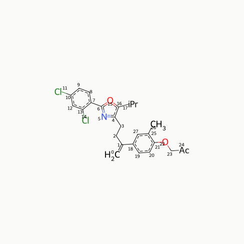 C=C(CCc1nc(-c2ccc(Cl)cc2Cl)oc1C(C)C)c1ccc(OCC(C)=O)c(C)c1